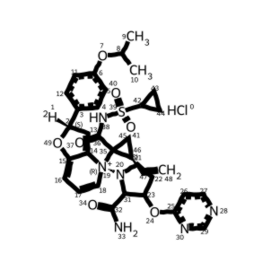 Cl.[2H][C@@]1(c2ccc(OC(C)C)cc2)C=C2C(=CC=C[N@+]2(N2CCC(Oc3ccncn3)C2C(N)=O)C2(C(=O)NS(=O)(=O)C3CC3)C[C@H]2C=C)O1